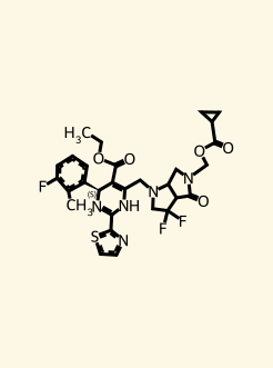 CCOC(=O)C1=C(CN2CC(F)(F)C3C(=O)N(COC(=O)C4CC4)CC32)NC(c2nccs2)=N[C@H]1c1cccc(F)c1C